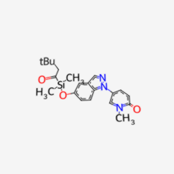 Cn1cc(-n2ncc3cc(O[Si](C)(C)C(=O)CC(C)(C)C)ccc32)ccc1=O